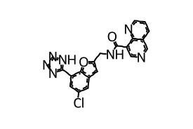 O=C(NCc1cc2cc(Cl)cc(-c3nnn[nH]3)c2o1)c1cncc2cccnc12